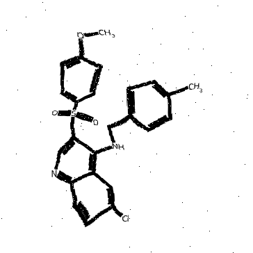 COc1ccc(S(=O)(=O)c2cnc3ccc(Cl)cc3c2NCc2ccc(C)cc2)cc1